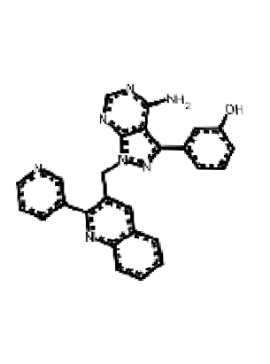 Nc1ncnc2c1c(-c1cccc(O)c1)nn2Cc1cc2ccccc2nc1-c1cccnc1